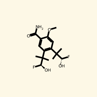 COc1cc(C(C)(C)[C@@H](O)F)c(C(C)(C)[C@@H](O)F)cc1C(N)=O